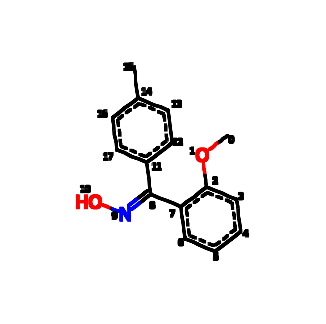 COc1ccccc1C(=NO)c1ccc(C)cc1